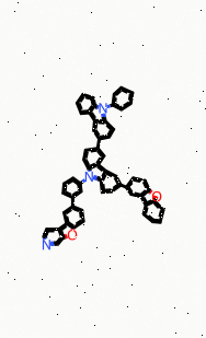 c1ccc(-n2c3ccccc3c3cc(-c4ccc5c(c4)c4cc(-c6ccc7oc8ccccc8c7c6)ccc4n5-c4cccc(-c5ccc6oc7cnccc7c6c5)c4)ccc32)cc1